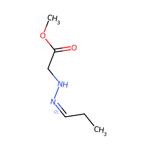 CC/C=N\NCC(=O)OC